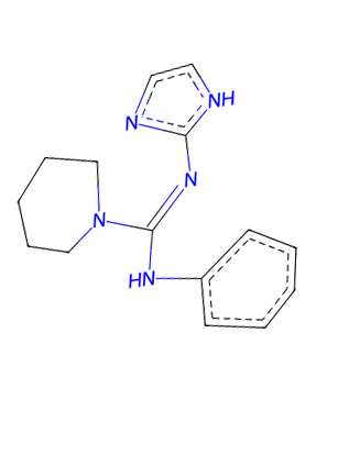 c1ccc(NC(=Nc2ncc[nH]2)N2CCCCC2)cc1